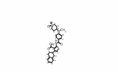 CN(c1ccc(C(=O)Nc2scc(C3CCc4ccccc4C3)c2C(=O)O)cc1)C1CCS(=O)(=O)CC1